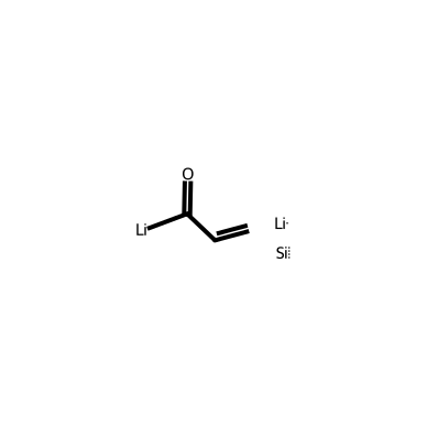 [Li].[Li][C](=O)C=C.[Si]